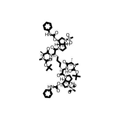 C[C@@H](C(=O)N[C@@H](CCCC[C@H](NC(=O)[C@H](C)N(C)C(=O)OC(C)(C)C)C(=O)N1CC[C@@H]2[C@H]1[C@@H](OC(=O)Nc1ccccc1)CN2S(C)(=O)=O)C(=O)N1CC[C@@H]2[C@H]1[C@@H](OC(=O)Nc1ccccc1)CN2S(C)(=O)=O)N(C)C(=O)OC(C)(C)C